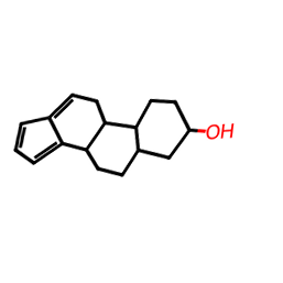 OC1CCC2C(CCC3C4=CC=CC4=CCC32)C1